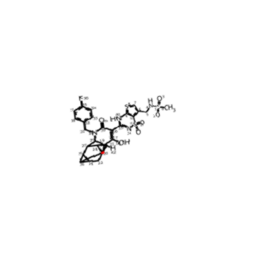 CS(=O)(=O)NCc1csc2c1S(=O)(=O)N=C(C1=C(O)[C@@H]3C4C5C6CC7C(C74)C(C65)C3N(Cc3ccc(F)cc3)C1=O)N2